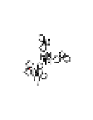 Cc1ccc2c(c1)c1cc(C)ccc1n2-c1c(-c2ccccc2)cc(-c2nc(-c3ccc4c(c3)oc3ccccc34)nc(-c3ccc4c(c3)oc3ccccc34)n2)cc1-c1ccccc1